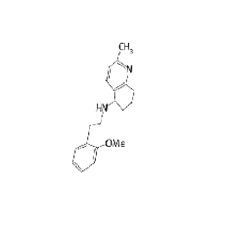 COc1ccccc1CCNC1CCCc2nc(C)ccc21